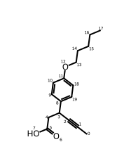 CC#CC(CC(=O)O)c1ccc(OCCCCC)cc1